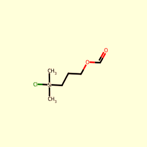 C[Si](C)(Cl)CCCOC=O